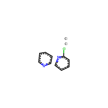 Clc1ccccn1.[C].[C].c1ccncc1